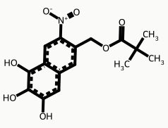 CC(C)(C)C(=O)OCc1cc2cc(O)c(O)c(O)c2cc1[N+](=O)[O-]